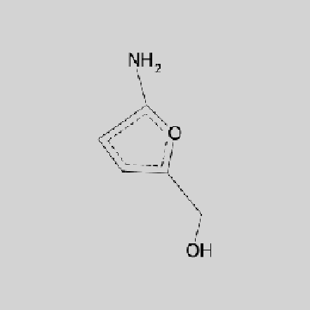 Nc1ccc(CO)o1